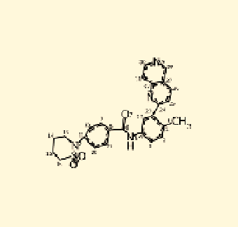 Cc1ccc(NC(=O)c2ccc(N3CCCCS3(=O)=O)cc2)cc1-c1ccc2cnccc2n1